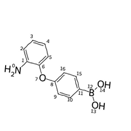 Nc1ccccc1Oc1ccc(B(O)O)cc1